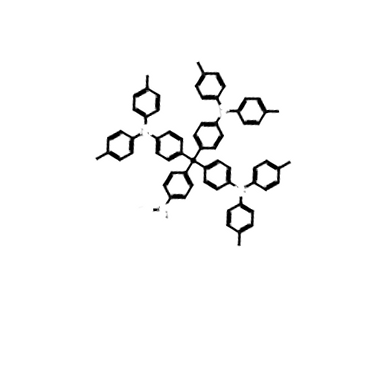 CCN(CC)c1ccc(C(c2ccc(N(c3ccc(C)cc3)c3ccc(C)cc3)cc2)(c2ccc(N(c3ccc(C)cc3)c3ccc(C)cc3)cc2)c2ccc(N(c3ccc(C)cc3)c3ccc(C)cc3)cc2)cc1